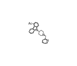 CC(=O)c1cccc2c1c1ccccc1n2C1CCN(Cc2ccccn2)CC1